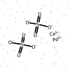 O=S(=O)([O-])[O-].O=S(=O)([O-])[O-].[Ca+2].[Pd+2]